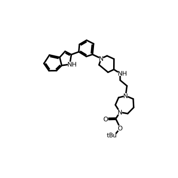 CC(C)(C)OC(=O)N1CCCN(CCNC2CCN(c3cccc(-c4cc5ccccc5[nH]4)c3)CC2)CC1